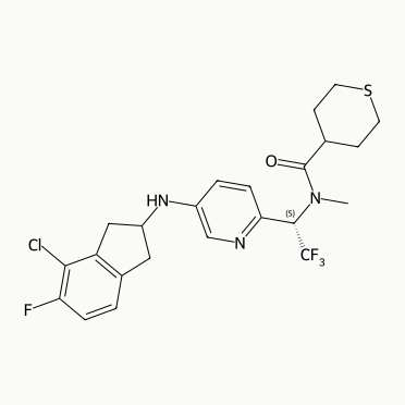 CN(C(=O)C1CCSCC1)[C@@H](c1ccc(NC2Cc3ccc(F)c(Cl)c3C2)cn1)C(F)(F)F